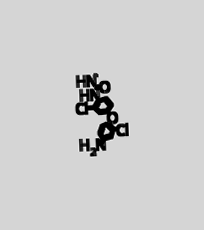 CNC(=O)Nc1ccc(Oc2ccc(N)cc2Cl)cc1Cl